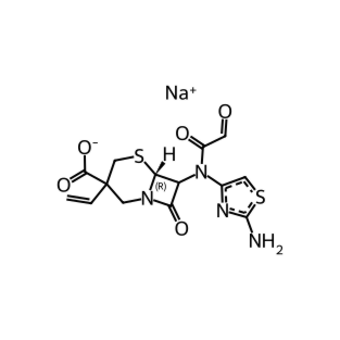 C=CC1(C(=O)[O-])CS[C@@H]2C(N(C(=O)C=O)c3csc(N)n3)C(=O)N2C1.[Na+]